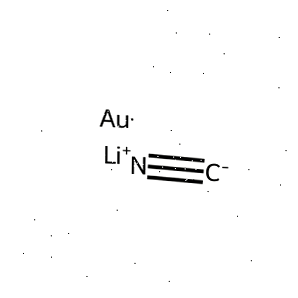 [Au].[C-]#N.[Li+]